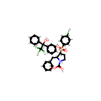 O=C(O)N1CC[C@](c2ccc(C(O)(c3ccccc3)C(F)(F)F)cc2)(S(=O)(=O)c2ccc(F)cc2)C1Cc1ccccc1